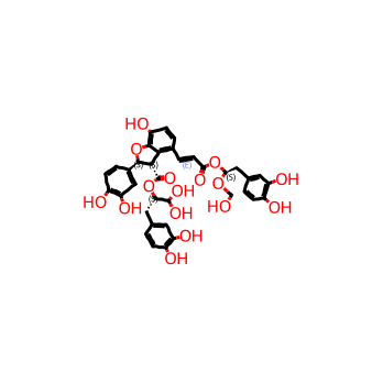 O=C(/C=C/c1ccc(O)c2c1[C@H](C(=O)O[C@@H](Cc1ccc(O)c(O)c1)C(O)O)[C@@H](c1ccc(O)c(O)c1)O2)O[C@@H](Cc1ccc(O)c(O)c1)OCO